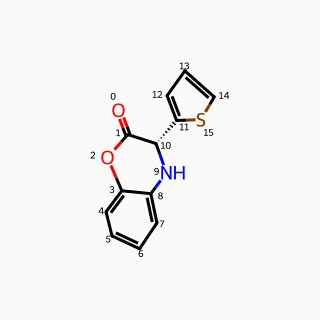 O=C1Oc2ccccc2N[C@H]1c1cccs1